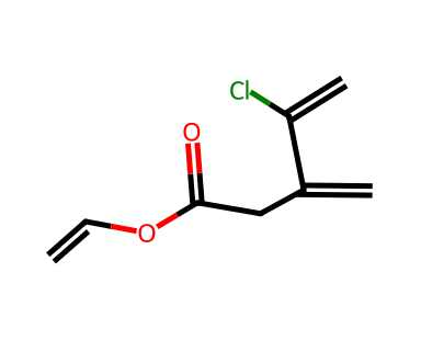 C=COC(=O)CC(=C)C(=C)Cl